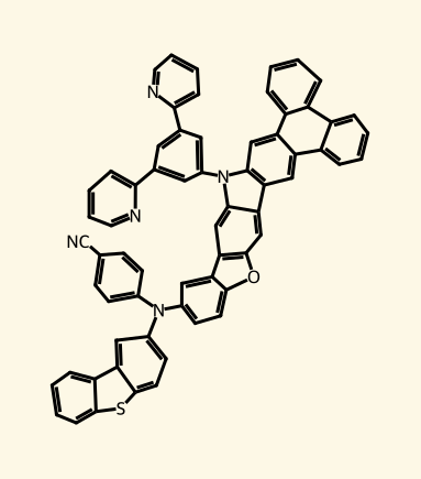 N#Cc1ccc(N(c2ccc3oc4cc5c6cc7c8ccccc8c8ccccc8c7cc6n(-c6cc(-c7ccccn7)cc(-c7ccccn7)c6)c5cc4c3c2)c2ccc3sc4ccccc4c3c2)cc1